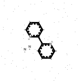 [N].[N].c1ccc(-c2ccccn2)nc1